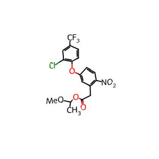 COC(C)OC(=O)Cc1cc(Oc2ccc(C(F)(F)F)cc2Cl)ccc1[N+](=O)[O-]